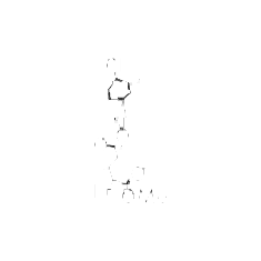 CCC(CCC(=O)ON=Cc1ccc(Cl)cc1)C(=O)OC